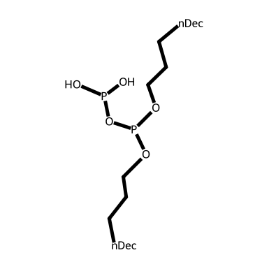 CCCCCCCCCCCCCOP(OCCCCCCCCCCCCC)OP(O)O